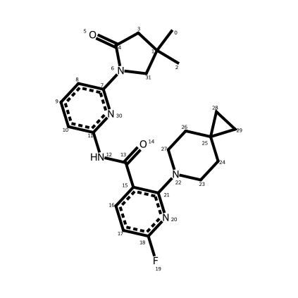 CC1(C)CC(=O)N(c2cccc(NC(=O)c3ccc(F)nc3N3CCC4(CC3)CC4)n2)C1